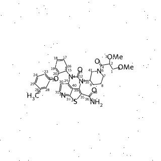 COCC(OC)C(=O)N1CCCC(N2C(=O)N(c3ccccc3Oc3cccc(C)c3)c3ccnc4sc(C(N)=O)c2c34)C1